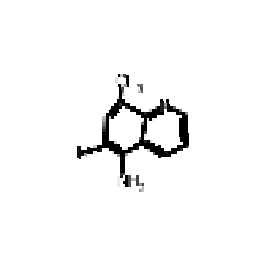 Cc1cc(I)c(N)c2cccnc12